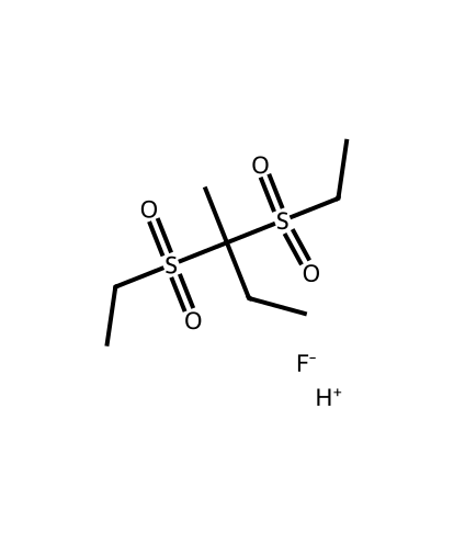 CCC(C)(S(=O)(=O)CC)S(=O)(=O)CC.[F-].[H+]